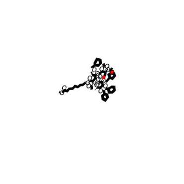 COC(=O)CCCCCCCCO[C@@H]1O[C@H](COCc2ccccc2)[C@@H](O[C@@H]2O[C@H](C)C[C@H](OC(C)=O)[C@H]2OC(C)=O)[C@H](O[C@@H]2O[C@@H](C)[C@@H](OCc3ccccc3)[C@@H](OCc3ccccc3)[C@@H]2OCc2ccccc2)[C@H]1NC(C)=O